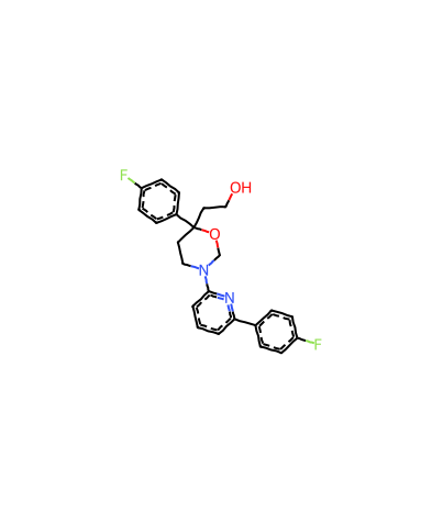 OCCC1(c2ccc(F)cc2)CCN(c2cccc(-c3ccc(F)cc3)n2)CO1